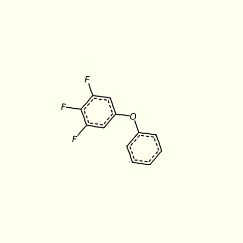 Fc1cc(Oc2c[c]ccc2)cc(F)c1F